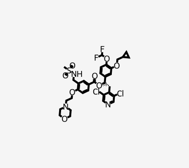 CS(=O)(=O)NCc1cc(C(=O)O[C@@H](Cc2c(Cl)cncc2Cl)c2ccc(OC(F)F)c(OCC3CC3)c2)ccc1OCCN1CCOCC1